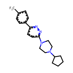 FC(F)(F)c1ccc(-c2ccc(N3CCN(C4CCCC4)CC3)nn2)cc1